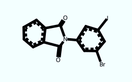 O=C1c2ccccc2C(=O)N1c1cc(Br)cc(I)c1